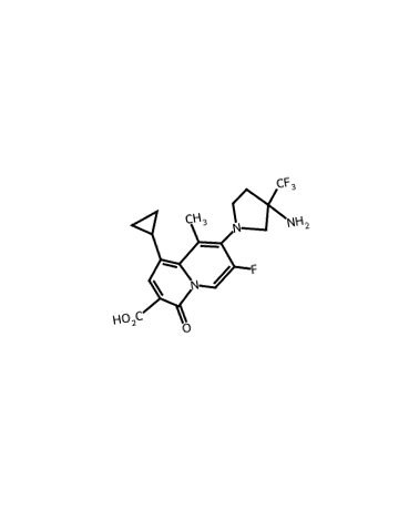 Cc1c(N2CCC(N)(C(F)(F)F)C2)c(F)cn2c(=O)c(C(=O)O)cc(C3CC3)c12